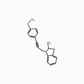 COc1ccc(C#CCN2c3ccccc3CC2C)cc1